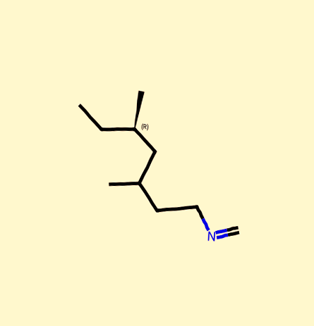 C=NCCC(C)C[C@H](C)CC